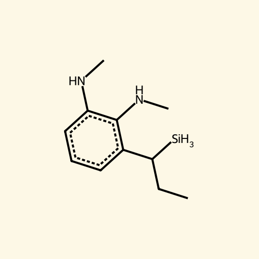 CCC([SiH3])c1cccc(NC)c1NC